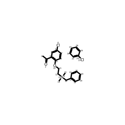 CC(=O)c1cc(Cl)ccc1OCC[N+](C)(C)Cc1ccccc1.Clc1ccccc1